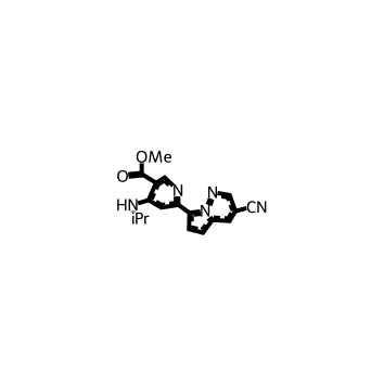 COC(=O)c1cnc(-c2ccc3cc(C#N)cnn23)cc1NC(C)C